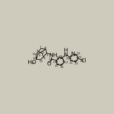 O=C(NC1C2CC3CC1CC(O)(C3)C2)c1cccc(Nc2ccc(Cl)cn2)c1